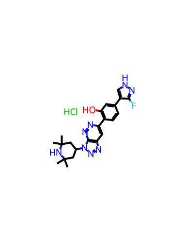 CC1(C)CC(n2nnc3cc(-c4ccc(-c5c[nH]nc5F)cc4O)nnc32)CC(C)(C)N1.Cl